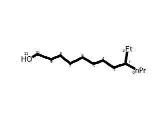 CCCC(CC)CCCCCCCCO